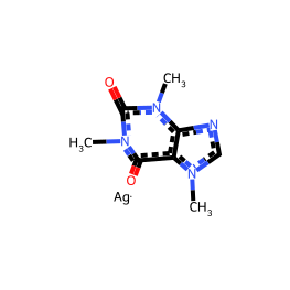 Cn1c(=O)c2c(ncn2C)n(C)c1=O.[Ag]